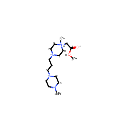 CCCN1CCN(CCCN2CC[N+](CCC)(CC(=O)OC(C)C)CC2)CC1